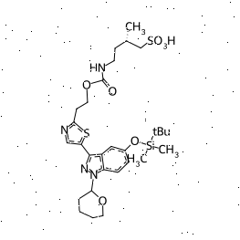 C[C@@H](CCNC(=O)OCCc1ncc(-c2nn(C3CCCCO3)c3ccc(O[Si](C)(C)C(C)(C)C)cc23)s1)CS(=O)(=O)O